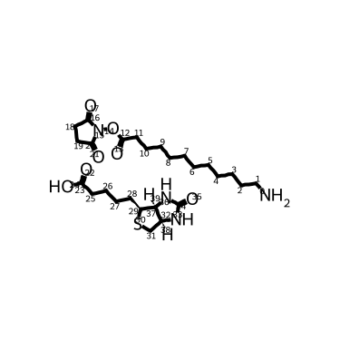 NCCCCCCCCCCCC(=O)ON1C(=O)CCC1=O.O=C(O)CCCC[C@@H]1SC[C@@H]2NC(=O)N[C@@H]21